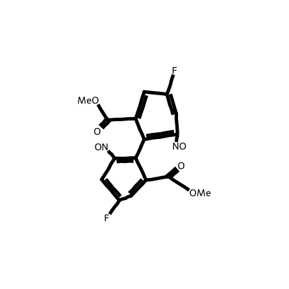 COC(=O)c1cc(F)cc(N=O)c1-c1c(N=O)cc(F)cc1C(=O)OC